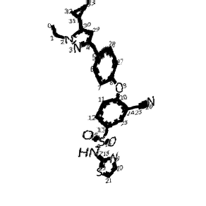 CCn1nc(-c2ccc(Oc3ccc(S(=O)(=O)Nc4nccs4)cc3C#N)cc2)cc1C1CC1